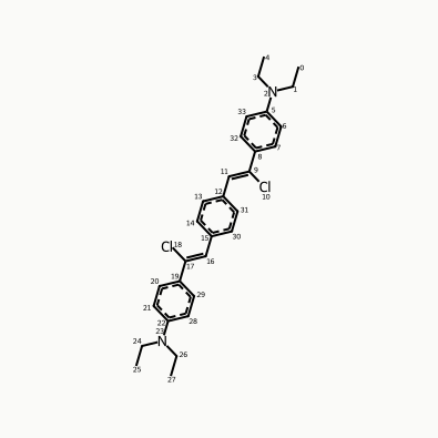 CCN(CC)c1ccc(C(Cl)=Cc2ccc(C=C(Cl)c3ccc(N(CC)CC)cc3)cc2)cc1